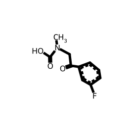 CN(CC(=O)c1cccc(F)c1)C(=O)O